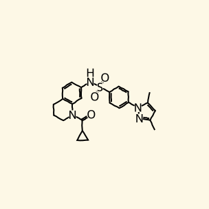 Cc1cc(C)n(-c2ccc(S(=O)(=O)Nc3ccc4c(c3)N(C(=O)C3CC3)CCC4)cc2)n1